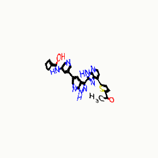 CC(=O)c1ccc(-c2ccnc3[nH]c(-c4n[nH]c5ncc(-c6cncc(NC(O)C7CCC7)c6)cc45)nc23)s1